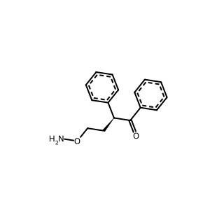 NOCC[C@H](C(=O)c1ccccc1)c1ccccc1